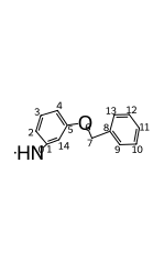 [NH]c1cccc(OCc2ccccc2)c1